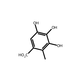 Cc1c(C(=O)O)cc(O)c(O)c1O